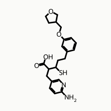 Nc1ccc(CC(C(=O)O)C(S)CCc2cccc(OCC3CCOC3)c2)cn1